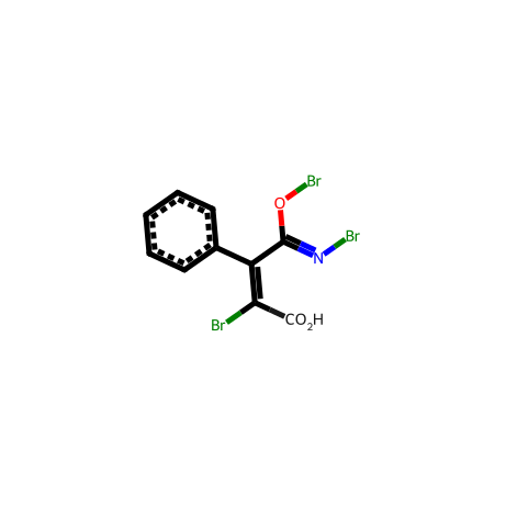 O=C(O)C(Br)=C(C(=NBr)OBr)c1ccccc1